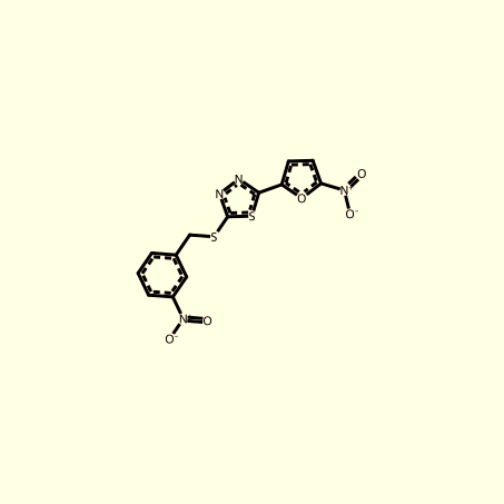 O=[N+]([O-])c1cccc(CSc2nnc(-c3ccc([N+](=O)[O-])o3)s2)c1